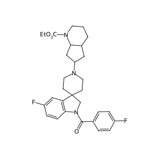 CCOC(=O)N1CCCC2CC(N3CCC4(CC3)CN(C(=O)c3ccc(F)cc3)c3ccc(F)cc34)CC21